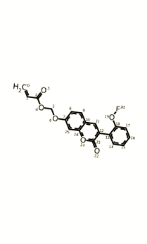 C=CC(=O)OCOc1ccc2cc(-c3ccccc3OF)c(=O)oc2c1